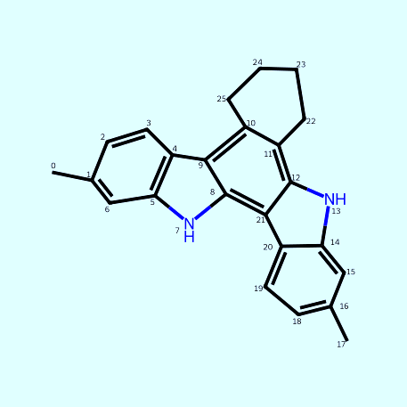 Cc1ccc2c(c1)[nH]c1c2c2c(c3[nH]c4cc(C)ccc4c31)CCCC2